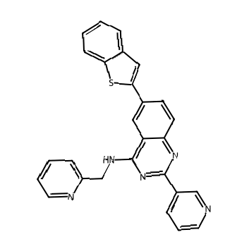 c1ccc(CNc2nc(-c3cccnc3)nc3ccc(-c4cc5ccccc5s4)cc23)nc1